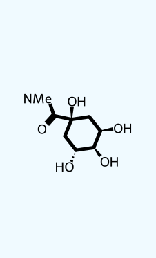 CNC(=O)[C@]1(O)C[C@@H](O)[C@@H](O)[C@H](O)C1